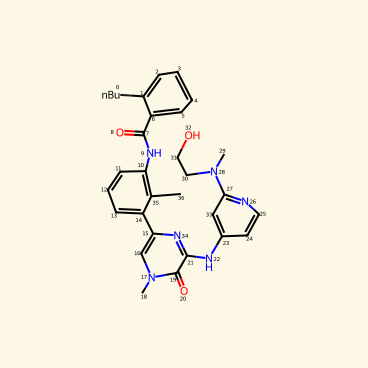 CCCCc1ccccc1C(=O)Nc1cccc(-c2cn(C)c(=O)c(Nc3ccnc(N(C)CCO)c3)n2)c1C